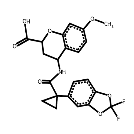 COc1ccc2c(c1)OC(C(=O)O)CC2NC(=O)C1(c2ccc3c(c2)OC(F)(F)O3)CC1